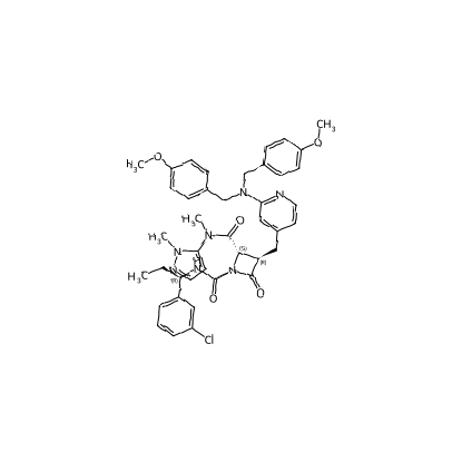 CC[C@@H](NC(=O)N1C(=O)[C@H](Cc2ccnc(N(Cc3ccc(OC)cc3)Cc3ccc(OC)cc3)c2)[C@H]1C(=O)N(C)c1ccnn1C)c1cccc(Cl)c1